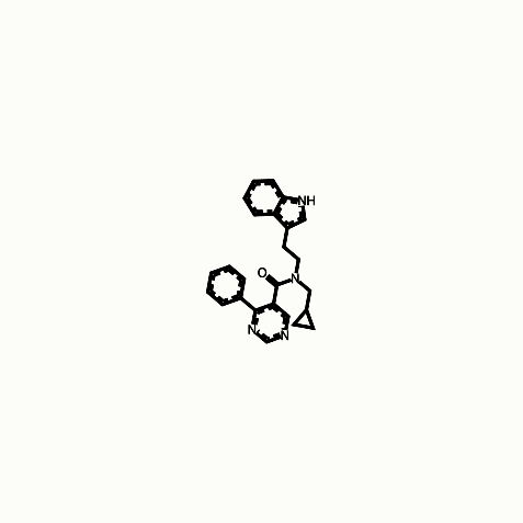 O=C(c1cncnc1-c1ccccc1)N(CCc1c[nH]c2ccccc12)CC1CC1